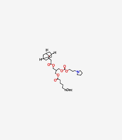 CCCCCCCCCCCCCCC(=O)OCC(COC(=O)CC12C[C@H]3C[C@@H](C1)C[C@@H](C2)C3)COC(=O)OCCCN1CCCC1